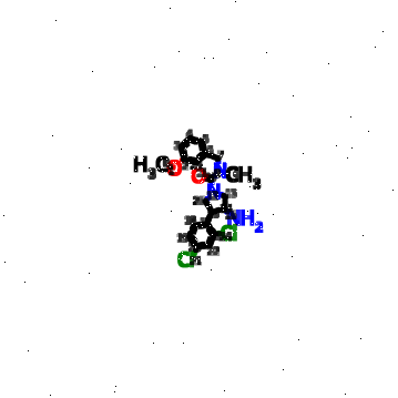 COc1cccc(CN(C)C(=O)N2CC(N)C(c3ccc(Cl)cc3Cl)C2)c1